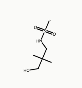 [CH2]S(=O)(=O)NCC(C)(C)CO